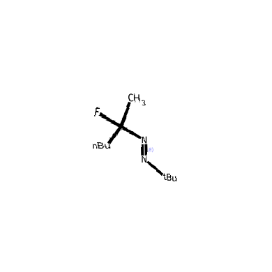 CCCCC(C)(F)/N=N/C(C)(C)C